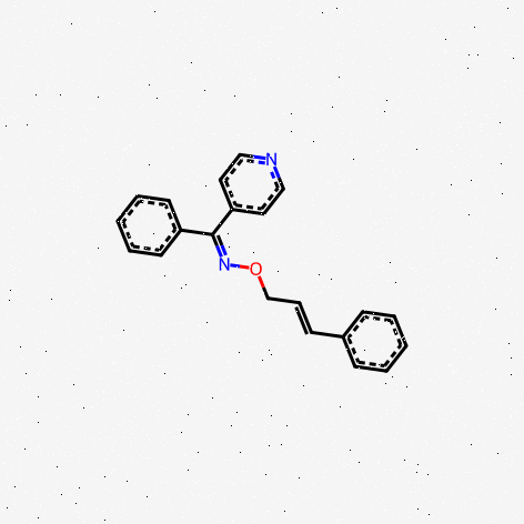 C(=C\c1ccccc1)/CON=C(c1ccccc1)c1ccncc1